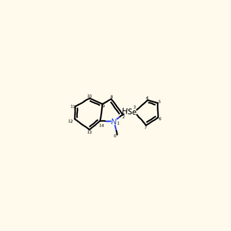 Cn1c([SeH]2C=CC=C2)cc2ccccc21